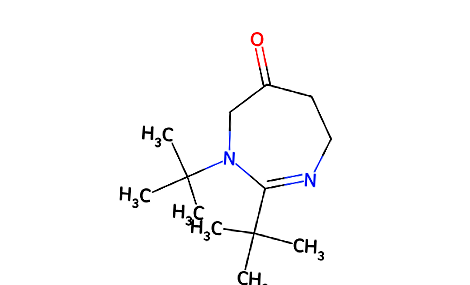 CC(C)(C)C1=NCCC(=O)CN1C(C)(C)C